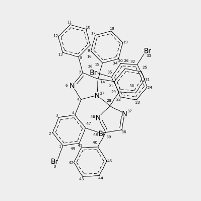 Brc1ccc(C2N=C(c3ccccc3)C(c3ccccc3)(c3ccccc3)N2C2(c3ccc(Br)cc3Br)N=CC(c3ccccc3)=N2)c(Br)c1